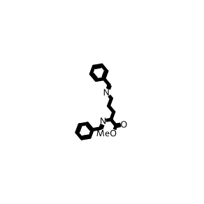 COC(=O)C(CCCN=Cc1ccccc1)N=Cc1ccccc1